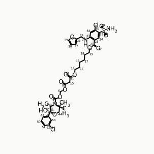 C[C@@H]1N(C(=O)OCOC(=O)CC(=O)OCCCCCCOC(=O)c2cc(S(N)(=O)=O)c(Cl)cc2NCc2ccco2)C(C)(C)CO[C@@]1(O)c1cccc(Cl)c1